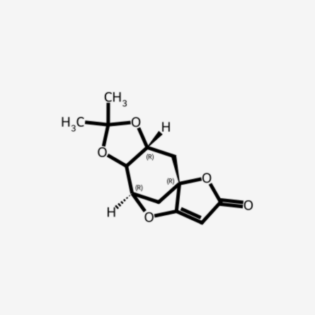 CC1(C)OC2[C@H]3C[C@]4(C[C@H]2O1)OC(=O)C=C4O3